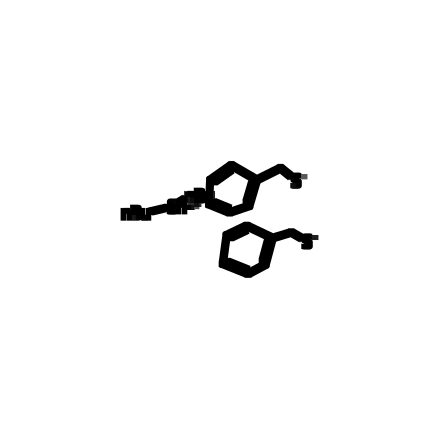 CCC[CH2][Sn+2][CH2]CCC.[S-]Cc1ccccc1.[S-]Cc1ccccc1